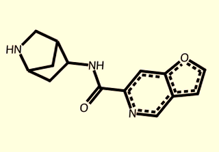 O=C(NC1CC2CC1CN2)c1cc2occc2cn1